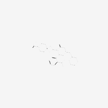 CC(C)c1ccccc1C1CN(CC2CCCCC2)CC(=O)N1C1CC2(CCN(C(=O)O)CC2)C1